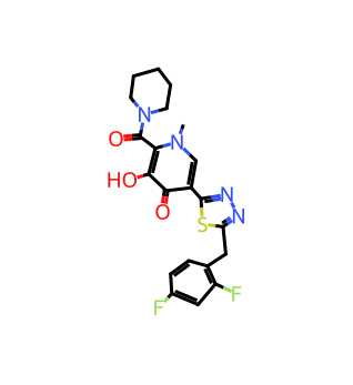 Cn1cc(-c2nnc(Cc3ccc(F)cc3F)s2)c(=O)c(O)c1C(=O)N1CCCCC1